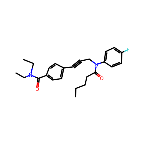 CCCCC(=O)N(CC#Cc1ccc(C(=O)N(CC)CC)cc1)c1ccc(F)cc1